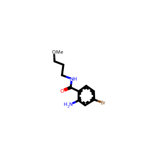 COCCCNC(=O)c1ccc(Br)cc1N